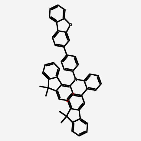 CC1(C)c2ccccc2-c2cc(-c3ccccc3N(c3ccc(-c4ccc5c(c4)oc4ccccc45)cc3)c3cccc4c3-c3ccccc3C4(C)C)ccc21